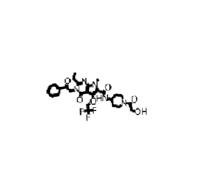 CCc1nc2c(c(OCC(F)(F)F)c(C(=O)NC3CCN(C(=O)CO)CC3)n2C)c(=O)n1CC(=O)c1ccccc1